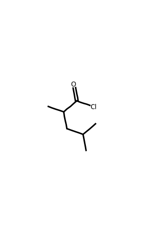 CC(C)CC(C)C(=O)Cl